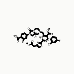 COC(=O)Cc1csc(C2=N[C@@H](c3ccc(F)cc3Cl)C(C(=O)OC)=C(CN3CCN4C(=O)N(c5ccc(C(=O)O)c(F)c5)C[C@@H]4C3)N2)n1